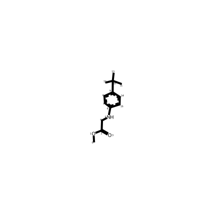 COC(=O)CNc1ccc(C(C)(C)C)cc1